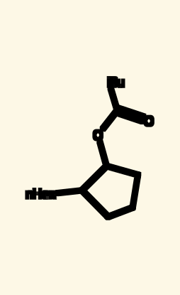 CCCCCCC1CCCC1OC(=O)C(C)CC